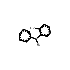 CCN(c1ccccc1)c1ccccc1C